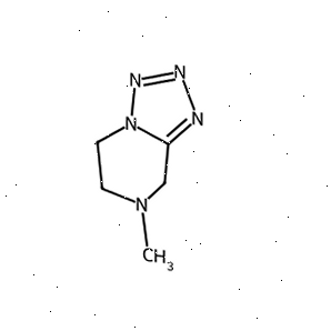 CN1CCn2nnnc2C1